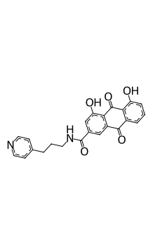 O=C(NCCCc1ccncc1)c1cc(O)c2c(c1)C(=O)c1cccc(O)c1C2=O